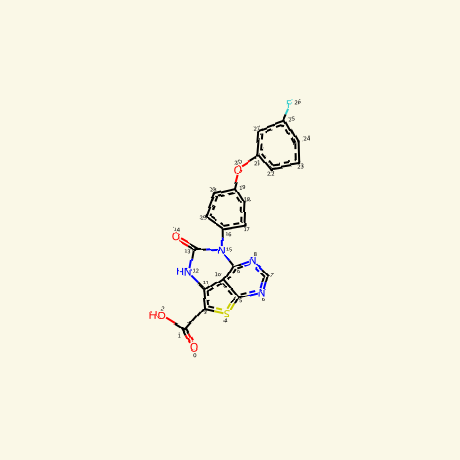 O=C(O)c1sc2ncnc3c2c1NC(=O)N3c1ccc(Oc2cccc(F)c2)cc1